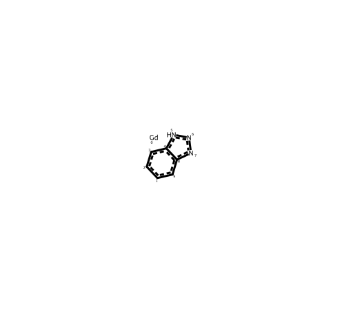 [Gd].c1ccc2[nH]nnc2c1